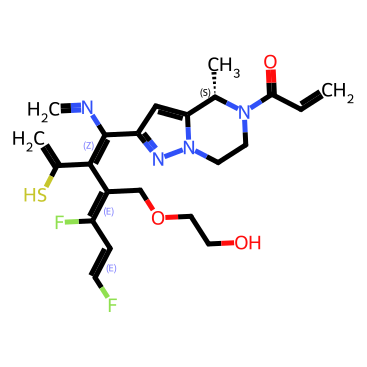 C=CC(=O)N1CCn2nc(\C(N=C)=C(C(=C)S)/C(COCCO)=C(F)/C=C/F)cc2[C@@H]1C